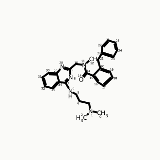 CN(C)CCCNc1nc(CN(C)C(=O)c2ccccc2Cc2ccccc2)nc2ccccc12